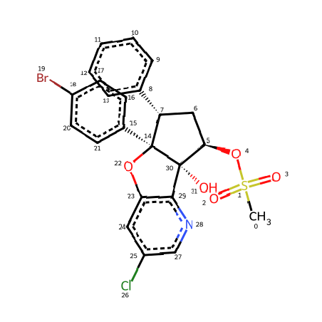 CS(=O)(=O)O[C@@H]1C[C@@H](c2ccccc2)[C@]2(c3ccc(Br)cc3)Oc3cc(Cl)cnc3[C@]12O